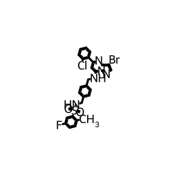 Cc1ccc(F)cc1S(=O)(=O)NCc1ccc(CNc2cc(-c3ccccc3Cl)nc3c(Br)cnn23)cc1